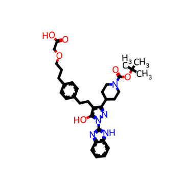 CC(C)(C)OC(=O)N1CCC(c2nn(-c3nc4ccccc4[nH]3)c(O)c2CCc2ccc(CCCOCC(=O)O)cc2)CC1